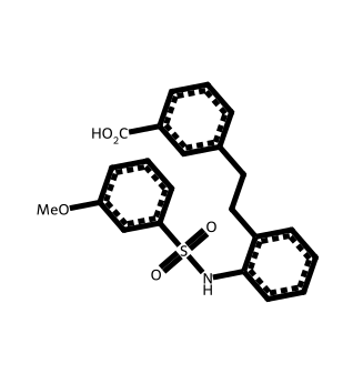 COc1cccc(S(=O)(=O)Nc2ccccc2CCc2cccc(C(=O)O)c2)c1